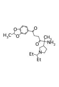 CCC(CC)N1CCC(C(C)(N)C(=O)CCC(=O)c2ccc3c(c2)OC(C)O3)C1